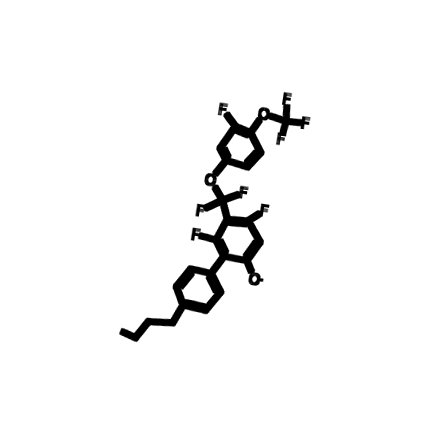 CCCCc1ccc(-c2c([O])cc(F)c(C(F)(F)Oc3ccc(OC(F)(F)F)c(F)c3)c2F)cc1